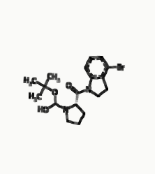 CC(C)(C)OC(O)N1CCC[C@H]1C(=O)N1CCc2c(Br)cccc21